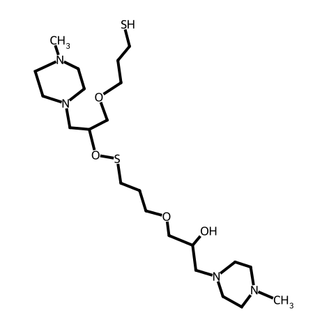 CN1CCN(CC(O)COCCCSOC(COCCCS)CN2CCN(C)CC2)CC1